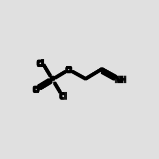 N=CCOP(=O)(Cl)Cl